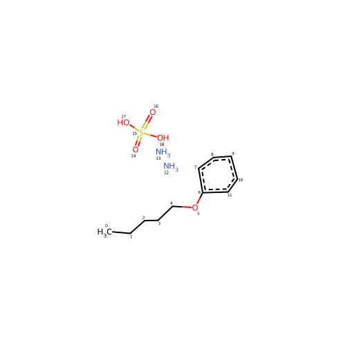 CCCCCOc1ccccc1.N.N.O=S(=O)(O)O